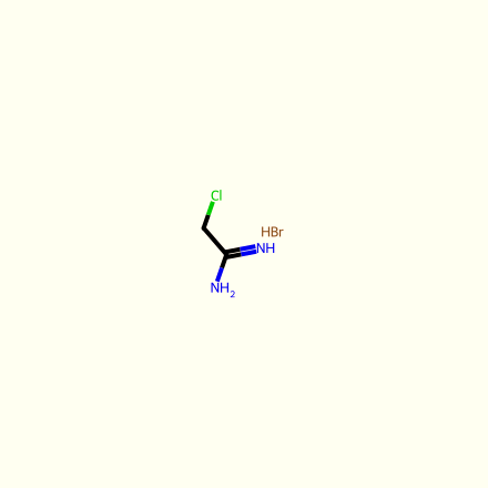 Br.N=C(N)CCl